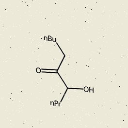 CCCCCC(=O)C(O)CCC